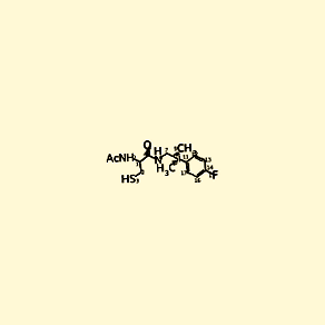 CC(=O)NC(CS)C(=O)NC[Si](C)(C)c1ccc(F)cc1